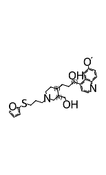 COc1ccc2nccc([C@@H](O)CC[C@@H]3CCN(CCCSc4ccco4)C[C@@H]3CO)c2c1